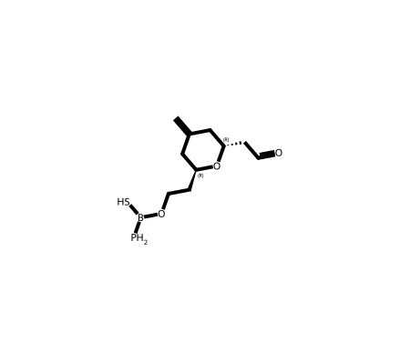 C=C1C[C@H](CC=O)O[C@@H](CCOB(P)S)C1